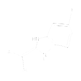 CC(=O)C(C(C)=O)=C1Nc2ccc(F)cc2N1